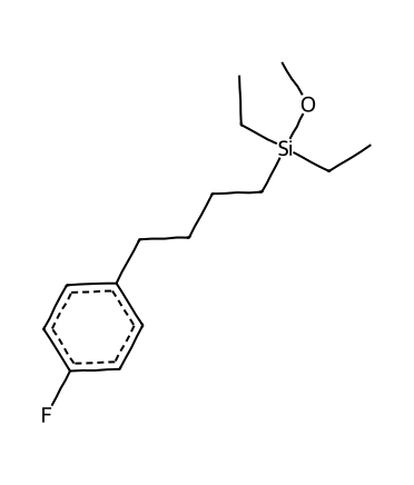 CC[Si](CC)(CCCCc1ccc(F)cc1)OC